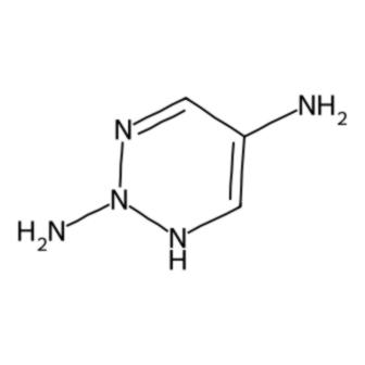 NC1=CNN(N)N=C1